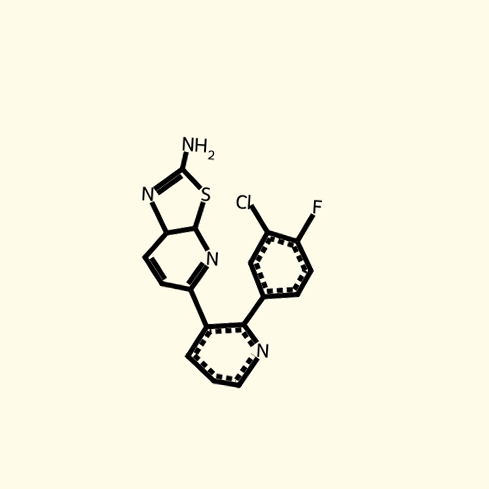 NC1=NC2C=CC(c3cccnc3-c3ccc(F)c(Cl)c3)=NC2S1